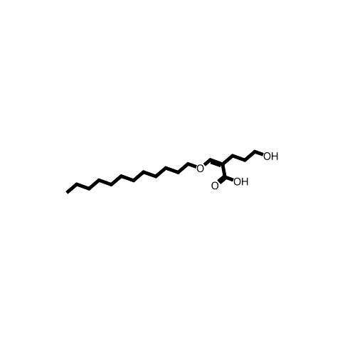 CCCCCCCCCCCCOC=C(CCCO)C(=O)O